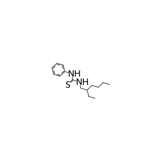 CCCCC(CC)CNC(=S)Nc1ccccc1